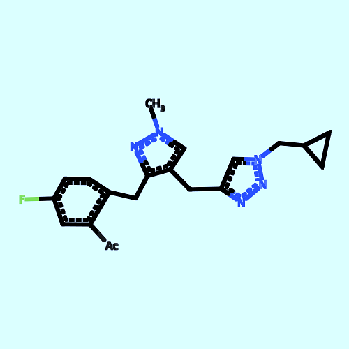 CC(=O)c1cc(F)ccc1Cc1nn(C)cc1Cc1cn(CC2CC2)nn1